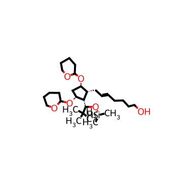 C[SiH](C)OC([C@H]1[C@@H](CC=CCCCCO)[C@@H](OC2CCCCO2)C[C@H]1OC1CCCCO1)C(C)(C)C